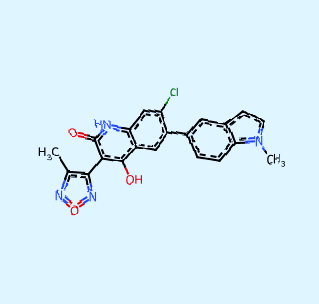 Cc1nonc1-c1c(O)c2cc(-c3ccc4c(ccn4C)c3)c(Cl)cc2[nH]c1=O